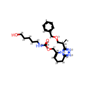 C[C@H](COCc1ccccc1)c1nnc2n1C(COC(=O)NCCCCCO)=CCC2